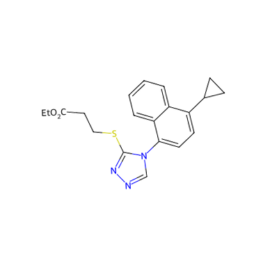 CCOC(=O)CCSc1nncn1-c1ccc(C2CC2)c2ccccc12